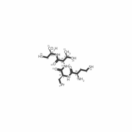 CC(C)C[C@H](NC(=O)[C@H](N)CCS)C(=O)N[C@H](C(=O)N[C@@H](CS)C(=O)O)[C@@H](C)O